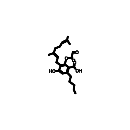 CCCCCc1cc(O)c(C/C=C(\C)CCC=C(C)C)c(OC(=O)C=O)c1C(=O)O